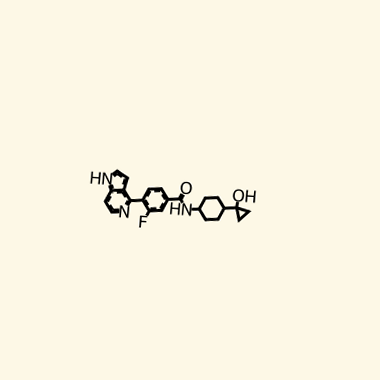 O=C(NC1CCC(C2(O)CC2)CC1)c1ccc(-c2nccc3[nH]ccc23)c(F)c1